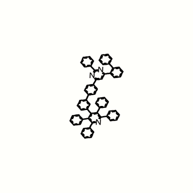 c1ccc(-c2nc(-c3ccc(-c4cccc(-c5c(-c6ccccc6)c(-c6ccccc6)nc(-c6ccccc6)c5-c5ccccc5)c4)cc3)cc(-c3ccccc3-c3ccccc3)n2)cc1